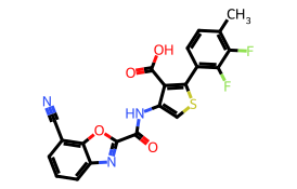 Cc1ccc(-c2scc(NC(=O)c3nc4cccc(C#N)c4o3)c2C(=O)O)c(F)c1F